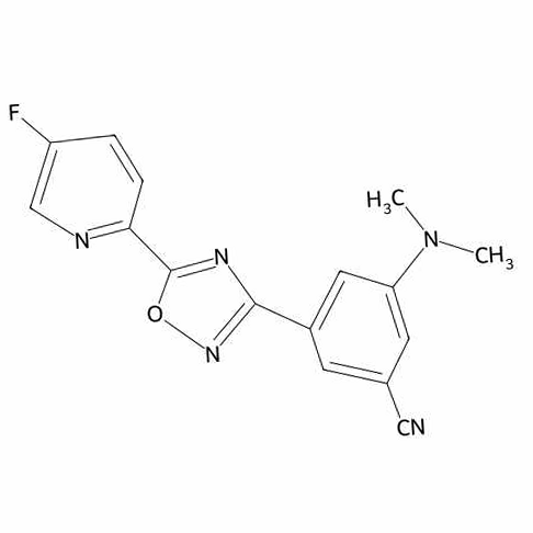 CN(C)c1cc(C#N)cc(-c2noc(-c3ccc(F)cn3)n2)c1